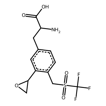 NC(Cc1ccc(CS(=O)(=O)C(F)(F)F)c(C2CO2)c1)C(=O)O